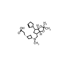 CN(C[C@H]1C[C@@H](N2C=CCC2)[C@@H]2OC(C)(C)O[C@H]12)[C@H]1C[C@@H](CCC(=O)O)C1